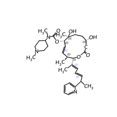 C/C(=C\C=C\C(C)c1ccccn1)[C@H]1OC(=O)C[C@@H](O)CC[C@](C)(O)[C@@H](OC(=O)N(C)C2CCN(C)CC2)/C=C/[C@@H]1C